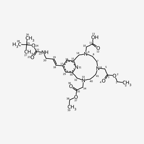 CCOC(=O)CN1CCN(CC(=O)O)Cc2cc(C=CCNC(=O)OC(C)(C)C)cc(n2)CN(CC(=O)OCC)CC1